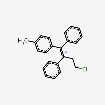 Cc1ccc(/C(=C(/CCCl)c2ccccc2)c2ccccc2)cc1